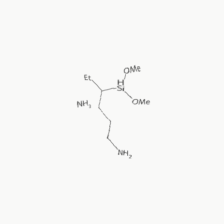 CCC(CCCN)[SiH](OC)OC.N